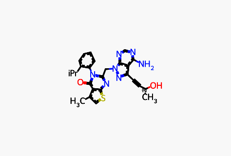 Cc1csc2nc(Cn3nc(C#C[C@@H](C)O)c4c(N)ncnc43)n(-c3ccccc3C(C)C)c(=O)c12